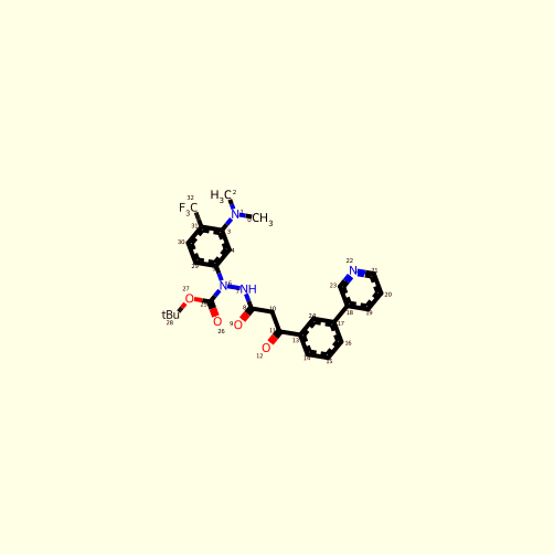 CN(C)c1cc(N(NC(=O)CC(=O)c2cccc(-c3cccnc3)c2)C(=O)OC(C)(C)C)ccc1C(F)(F)F